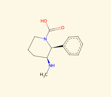 CN[C@H]1CCCN(C(=O)O)[C@H]1c1ccccc1